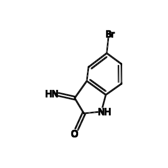 N=C1C(=O)Nc2ccc(Br)cc21